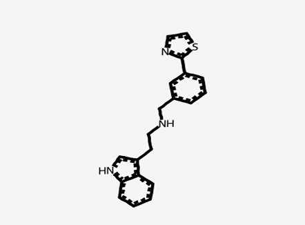 c1cc(CNCCc2c[nH]c3ccccc23)cc(-c2nccs2)c1